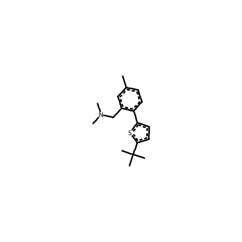 Cc1ccc(-c2ccc(C(C)(C)C)s2)c(CN(C)C)c1